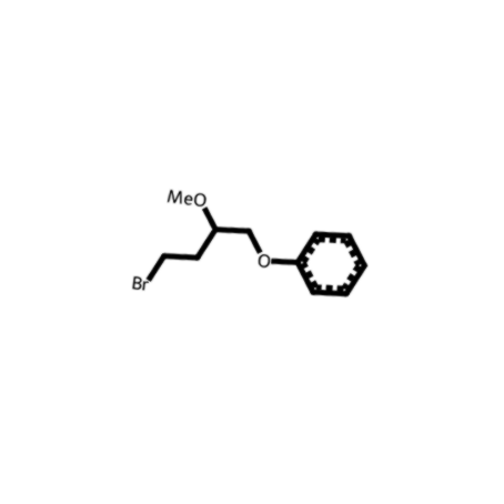 COC(CCBr)COc1ccccc1